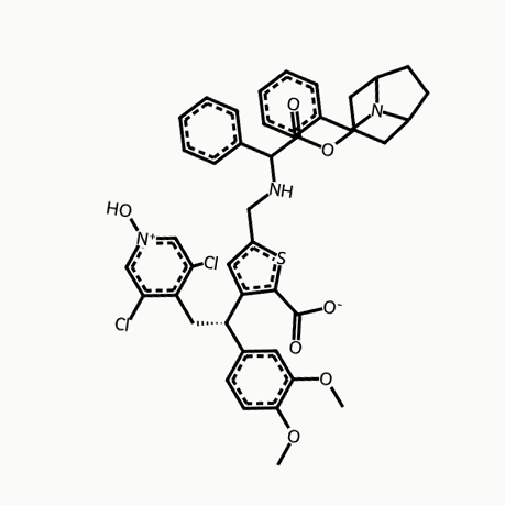 COc1ccc([C@H](Cc2c(Cl)c[n+](O)cc2Cl)c2cc(CNC(C(=O)OC3CC4CCC(C3)N4Cc3ccccc3)c3ccccc3)sc2C(=O)[O-])cc1OC